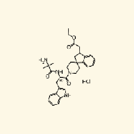 CCOC(=O)CC1CC2(CCN(C(=O)[C@@H](Cc3c[nH]c4ccccc34)NC(=O)C(C)(C)N)CC2)c2ccccc21.Cl